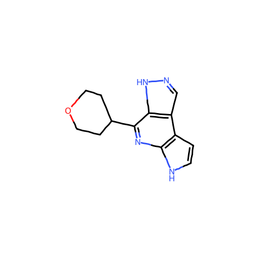 c1cc2c(nc(C3CCOCC3)c3[nH]ncc32)[nH]1